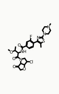 COC(C)C(NC(=O)c1ccc(-c2nc(N3CCN(C)CC3)sc2C)c(F)c1)C(=O)N1CC(Cl)C2OCC(=O)C21